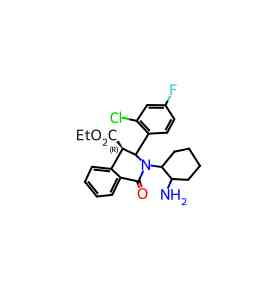 CCOC(=O)[C@@H]1c2ccccc2C(=O)N(C2CCCCC2N)C1c1ccc(F)cc1Cl